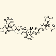 C1=CC(N(c2ccccc2)c2ccccc2)CC=C1c1ccc2c(c1)oc1c3oc4cc(-c5ccc(N(c6ccccc6)c6ccccc6)cc5)ccc4c3c3ccccc3c21